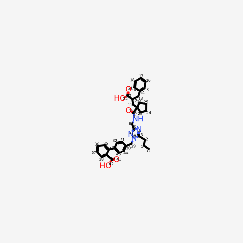 CCCc1nc(CNC(=O)C2(CC(Cc3ccccc3)C(=O)O)CCCC2)nn1Cc1ccc(-c2ccccc2C(=O)O)cc1